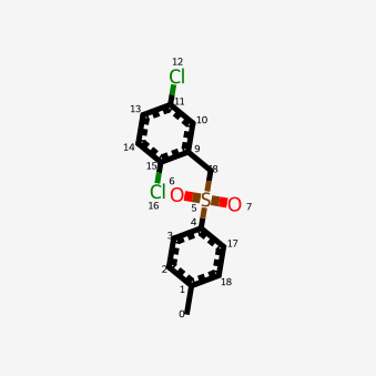 Cc1ccc(S(=O)(=O)[CH]c2cc(Cl)ccc2Cl)cc1